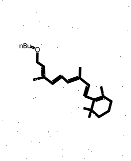 CCCCOCC=C(C)C=CC=C(C)C=CC1=C(C)CCCC1(C)C